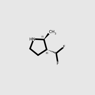 C[C@@H]1NCC[C@H]1C(F)F